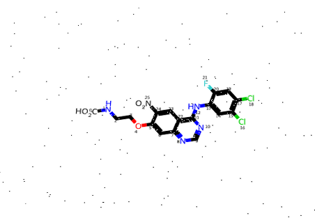 O=C(O)NCCOc1cc2ncnc(Nc3cc(Cl)c(Cl)cc3F)c2cc1[N+](=O)[O-]